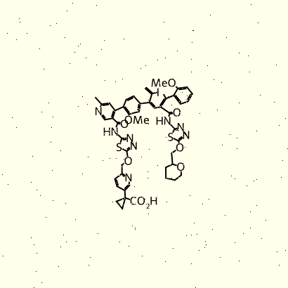 C=C(I)/C(=C\C(C(=O)Nc1nnc(OCC2CCCCO2)s1)=C(/C)c1ccccc1OC)c1ccc(-c2cc(C)ncc2C(=O)Nc2nnc(OCc3ccc(C4(C(=O)O)CC4)cn3)s2)c(OC)c1